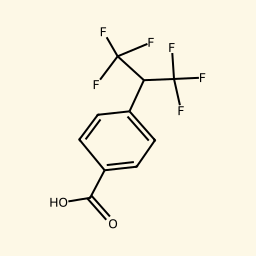 O=C(O)c1ccc(C(C(F)(F)F)C(F)(F)F)cc1